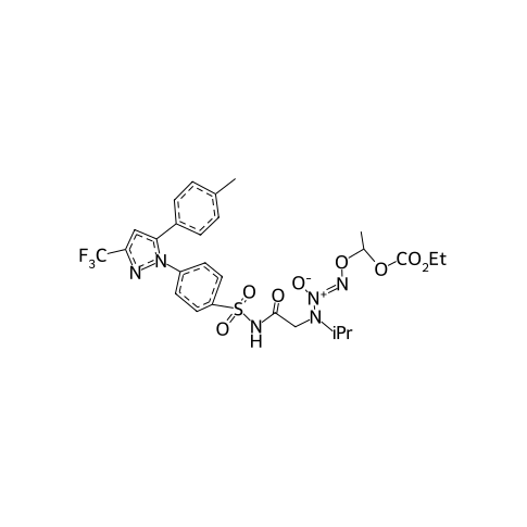 CCOC(=O)OC(C)O/N=[N+](\[O-])N(CC(=O)NS(=O)(=O)c1ccc(-n2nc(C(F)(F)F)cc2-c2ccc(C)cc2)cc1)C(C)C